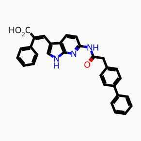 O=C(Cc1ccc(-c2ccccc2)cc1)Nc1ccc2c(C=C(C(=O)O)c3ccccc3)c[nH]c2n1